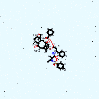 CC(=O)O[C@H]1C(=O)[C@@]2(C)[C@H]([C@H](OC(=O)c3ccccc3)[C@]3(O)C[C@H](OC(=O)[C@H](C)[C@@H](NC(=O)C4(C)C(C)N4S(=O)(=O)c4ccc(C)cc4)c4ccccc4)C(C)=C1C3(C)C)[C@]1(OC(C)=O)CO[C@@H]1C[C@@H]2C